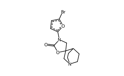 O=C1OC2(CN3CCC2CC3)CN1c1ccc(Br)o1